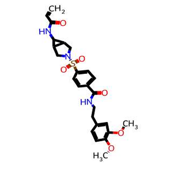 C=CC(=O)NC1C2CN(S(=O)(=O)c3ccc(C(=O)NCCc4ccc(OC)c(OC)c4)cc3)CC21